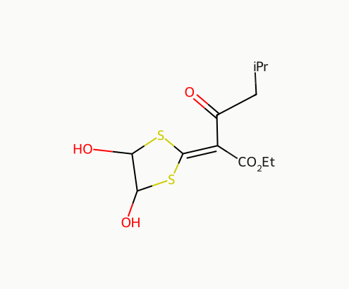 CCOC(=O)C(C(=O)CC(C)C)=C1SC(O)C(O)S1